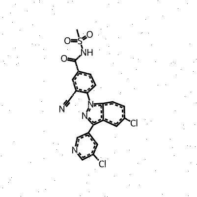 CS(=O)(=O)NC(=O)c1ccc(-n2nc(-c3cncc(Cl)c3)c3cc(Cl)ccc32)c(C#N)c1